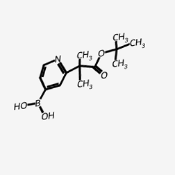 CC(C)(C)OC(=O)C(C)(C)c1cc(B(O)O)ccn1